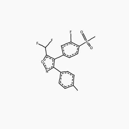 Cc1ccc(-c2noc(C(F)F)c2-c2ccc(S(C)(=O)=O)c(F)c2)cc1